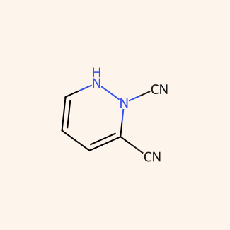 N#CC1=CC=CNN1C#N